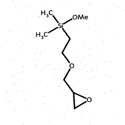 CO[Si](C)(C)CCOCC1CO1